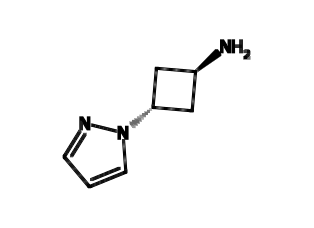 N[C@H]1C[C@H](n2cccn2)C1